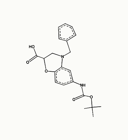 CC(C)(C)OC(=O)Nc1ccc2c(c1)N(Cc1ccccc1)CC(C(=O)O)O2